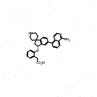 CCOC(=O)Cc1ccccc1O[C@@H]1CC2(CCNCC2)c2ccc(-c3cccc4c(N)nccc34)cc21